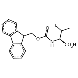 CC(I)[C@H](NC(=O)OCC1c2ccccc2-c2ccccc21)C(=O)O